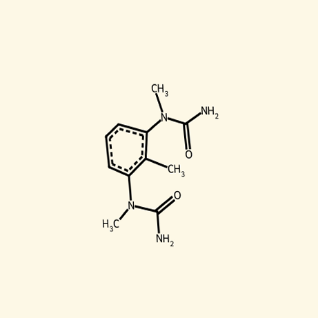 Cc1c(N(C)C(N)=O)cccc1N(C)C(N)=O